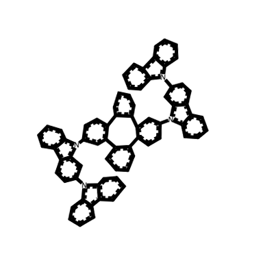 c1ccc2c(c1)-c1ccc(-n3c4ccccc4c4ccc(-n5c6ccccc6c6ccccc65)cc43)cc1-c1ccccc1-c1ccc(-n3c4ccccc4c4ccc(-n5c6ccccc6c6ccccc65)cc43)cc1-2